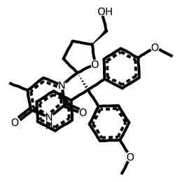 COc1ccc(C(c2ccccc2)(c2ccc(OC)cc2)[C@]2(n3cc(C)c(=O)[nH]c3=O)CC[C@@H](CO)O2)cc1